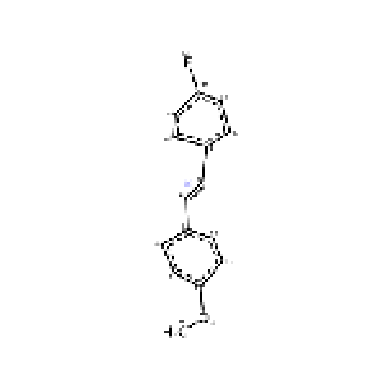 COc1ccc(/C=C/c2ccc(F)cc2)cc1